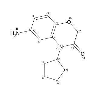 Nc1ccc2c(c1)N(C1CCCC1)C(=O)CO2